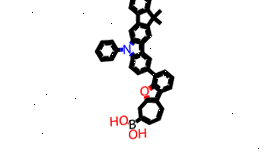 CC1(C)c2ccccc2-c2cc3c(cc21)c1cc(-c2cccc4c5c(oc24)CC(B(O)O)=CC=C5)ccc1n3-c1ccccc1